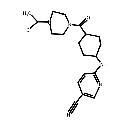 CC(C)N1CCN(C(=O)C2CCC(Nc3ccc(C#N)cn3)CC2)CC1